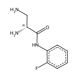 NC[C@@H](N)C(=O)Nc1ccccc1F